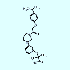 CC(C)c1ccc(OCC(=O)N2CCC[C@H](c3cccc(OC(C)(C)C(=O)O)c3)C2)cc1